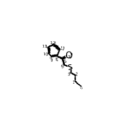 CCCCSCC(=O)c1ccccc1